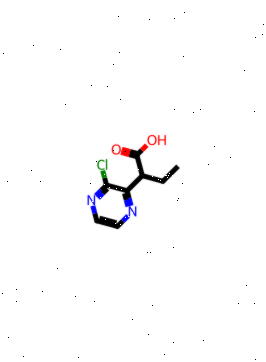 CCC(C(=O)O)c1nccnc1Cl